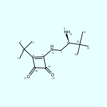 CC(C)(C)c1c(NC[C@@H](N)C(C)(C)C)c(=O)c1=O